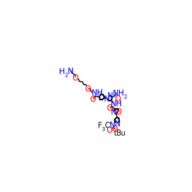 CC(C)(C)OC(=O)N(CC(F)(F)F)c1cc(-c2nc(C(=O)Nc3cn(-c4ccc(C(=O)NCCOCCCCCOCCN)cc4)nc3C(N)=O)co2)ccn1